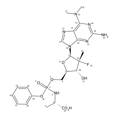 C[C@H](NP(=O)(OC[C@H]1O[C@@H](n2cnc3c(N(C)C)nc(N)nc32)[C@](C)(F)[C@@H]1O)Oc1ccccc1)C(=O)O